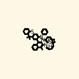 C=C/C=C\C1=C2N(/C=C\C=C/C(=C)[SH]2(C)(C)C)c2c3c(c4ccccc4c2C)-c2cc4c(cc2B(c2ccccc2)N13)SC1=C(CCC=C1)C4(C)C